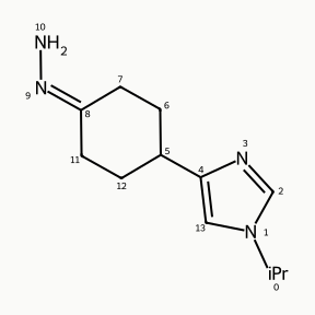 CC(C)n1cnc(C2CCC(=NN)CC2)c1